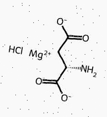 Cl.N[C@@H](CC(=O)[O-])C(=O)[O-].[Mg+2]